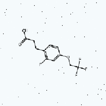 O=C(O)CCc1ccc(OCC(F)(F)F)cc1F